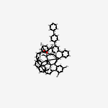 Fc1cc(F)c2c(c1)C1=C3C45C6=CC1(/C1=C\C7(C[n+]8cc(ccc8-c8c(F)cc(F)cc87)-c7ccccc71)/C1=C\C34[n+]3cc(c(-c4ccc(-c7ccccc7)cc4)cc3-c3ccccc35)-c3ccccc31)[n+]1cc(ccc1-2)-c1ccccc16